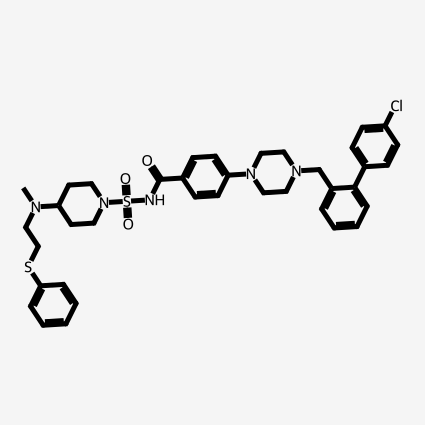 CN(CCSc1ccccc1)C1CCN(S(=O)(=O)NC(=O)c2ccc(N3CCN(Cc4ccccc4-c4ccc(Cl)cc4)CC3)cc2)CC1